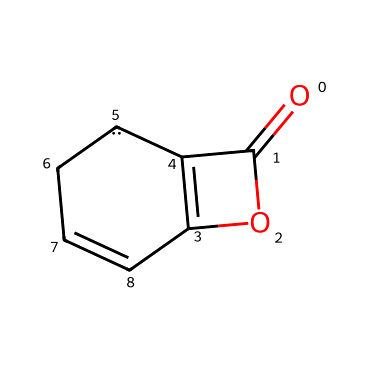 O=C1OC2=C1[C]CC=C2